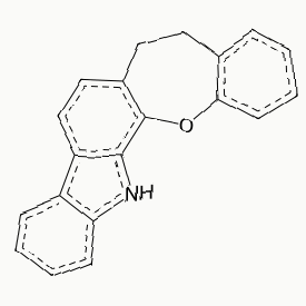 c1ccc2c(c1)CCc1ccc3c([nH]c4ccccc43)c1O2